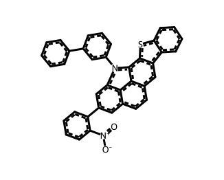 O=[N+]([O-])c1ccccc1-c1cc2ccc3cc4c5ccccc5sc4c4c3c2c(c1)n4-c1cccc(-c2ccccc2)c1